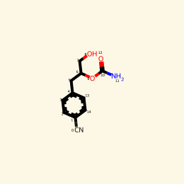 N#Cc1ccc(CC(CO)OC(N)=O)cc1